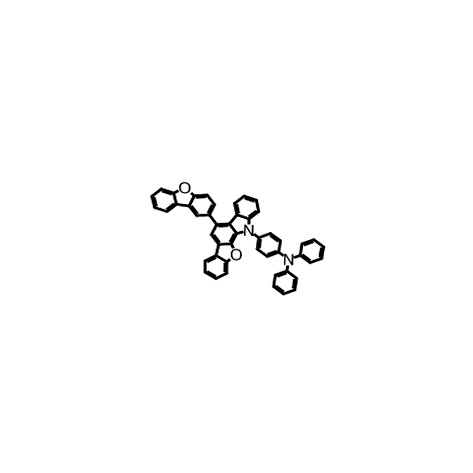 c1ccc(N(c2ccccc2)c2ccc(-n3c4ccccc4c4c(-c5ccc6oc7ccccc7c6c5)cc5c6ccccc6oc5c43)cc2)cc1